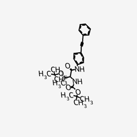 C[C@@H](OC(C)(C)C)C(NC(=O)OC(C)(C)C)C(=O)Nc1ccc(C#Cc2ccccc2)cc1